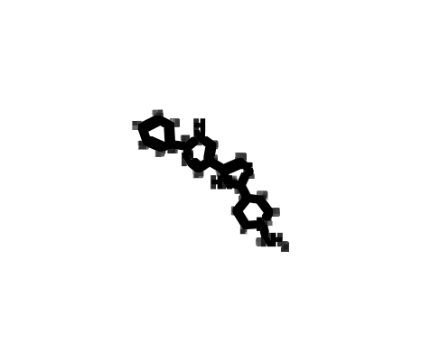 NN1CCC(C2NC(C3=CNC(c4ccccc4)N=C3)=CS2)CC1